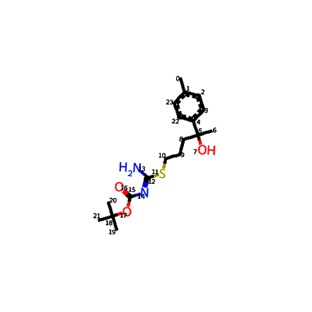 Cc1ccc(C(C)(O)CCCS/C(N)=N/C(=O)OC(C)(C)C)cc1